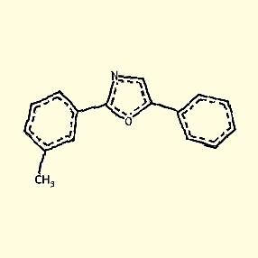 Cc1cccc(-c2ncc(-c3ccccc3)o2)c1